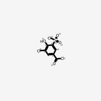 O=C(Cl)c1cc(Cl)c(O)c(S(=O)(=O)Cl)c1